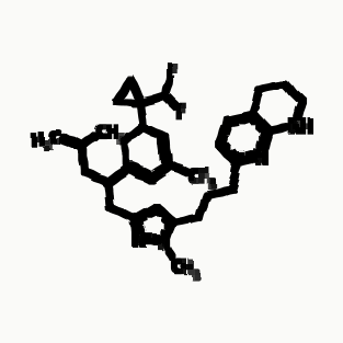 C=C(C)CC(Cc1cc(CCCc2ccc3c(n2)NCCC3)n(C)n1)C1=CC(C(F)(F)F)=CC(C2(C(F)F)CC2)C1